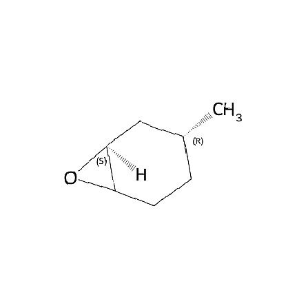 C[C@@H]1CCC2O[C@H]2C1